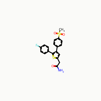 CS(=O)(=O)c1ccc(-c2cc(CC(N)=O)sc2-c2ccc(F)cc2)cc1